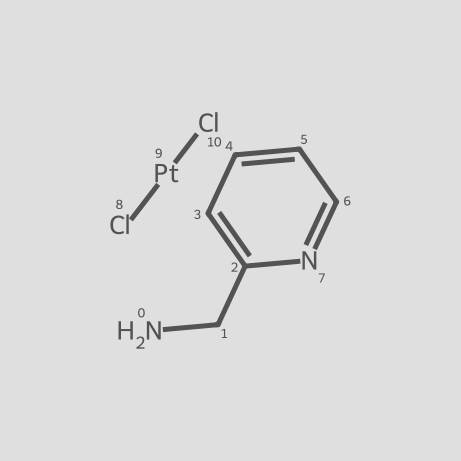 NCc1ccccn1.[Cl][Pt][Cl]